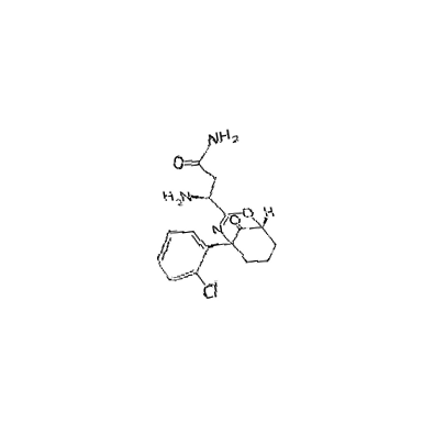 NC(=O)C[C@H](N)C1=N[C@@]2(c3ccccc3Cl)CCC[C@@H](O1)C2=O